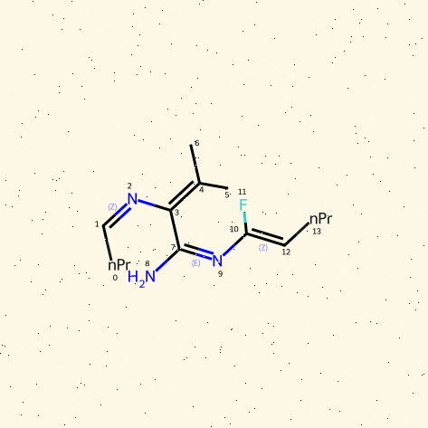 CCC/C=N\C(=C(C)C)/C(N)=N\C(F)=C\CCC